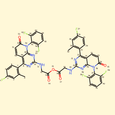 Cc1cc(F)ccc1-c1nc(NCC(=O)OC(=O)CNc2nc(-c3ccc(F)cc3C)c3ccc(=O)n(-c4c(F)cccc4F)c3n2)nc2c1ccc(=O)n2-c1c(F)cccc1F